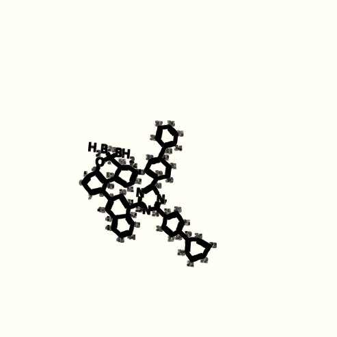 BC1(B)Oc2cccc(-c3cc(-c4nc(-c5ccc(-c6ccccc6)cc5)nc(-c5ccc(-c6ccccc6)cc5)n4)c4ccccc4c3)c2-c2ccccc21